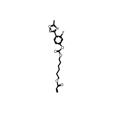 C=CC(=O)OCCCCCCOC(=O)Oc1ccc(-c2noc(C)n2)c(F)c1